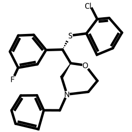 Fc1cccc([C@H](Sc2ccccc2Cl)[C@@H]2CN(Cc3ccccc3)CCO2)c1